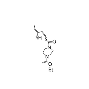 C=C(OCC)N1CCN(C(=O)S/C=C\C(S)=C/C)CC1